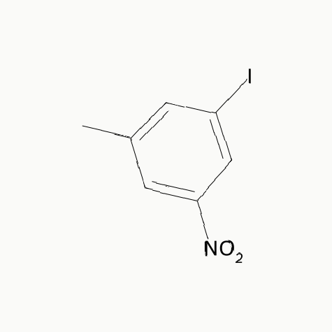 Cc1cc(I)cc([N+](=O)[O-])c1